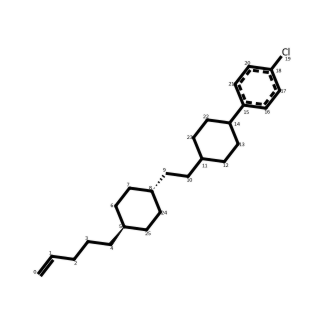 C=CCCC[C@H]1CC[C@H](CCC2CCC(c3ccc(Cl)cc3)CC2)CC1